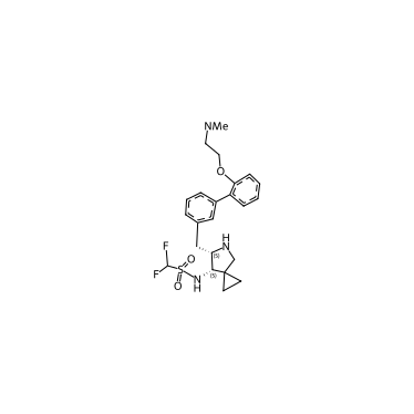 CNCCOc1ccccc1-c1cccc(C[C@@H]2NCC3(CC3)[C@@H]2NS(=O)(=O)C(F)F)c1